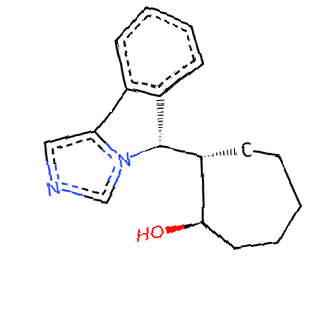 O[C@@H]1CCCCC[C@H]1[C@H]1c2ccccc2-c2cncn21